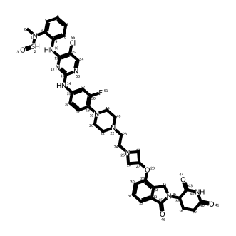 CN([SH]=O)c1ccccc1Nc1nc(Nc2ccc(N3CCN(CCN4CC(Oc5cccc6c5CN(C5CCC(=O)NC5=O)C6=O)C4)CC3)c(F)c2)ncc1Cl